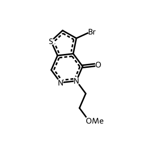 COCCn1ncc2scc(Br)c2c1=O